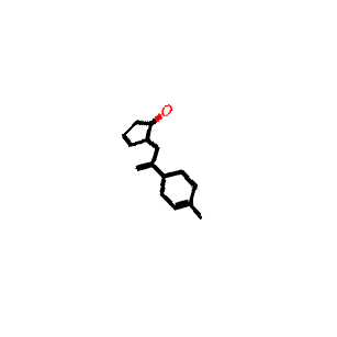 C=C(CC1CCCC1=O)C1CC=C(C)CC1